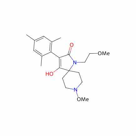 COCCN1C(=O)C(c2c(C)cc(C)cc2C)=C(O)C12CCN(OC)CC2